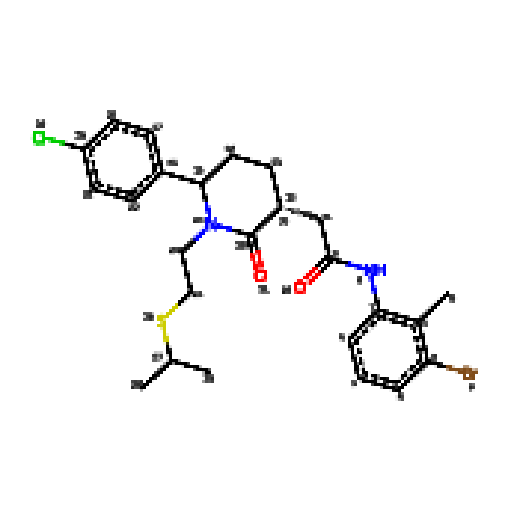 Cc1c(Br)cccc1NC(=O)C[C@H]1CCC(c2ccc(Cl)cc2)N(CCSC(C)C)C1=O